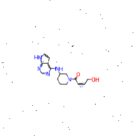 O=C(/C=C\CO)N1CCCC(Nc2ncnc3[nH]ccc23)C1